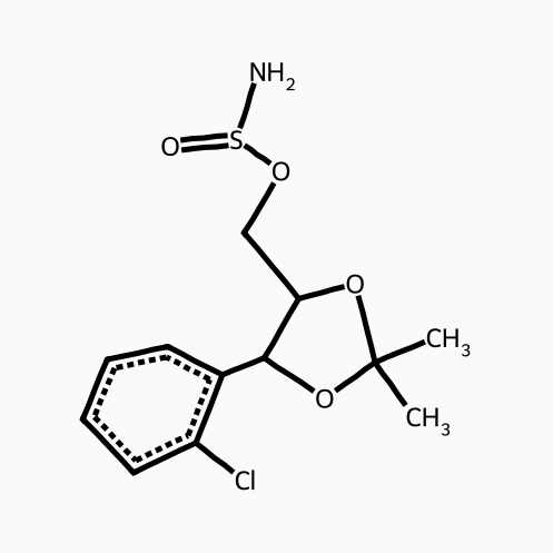 CC1(C)OC(COS(N)=O)C(c2ccccc2Cl)O1